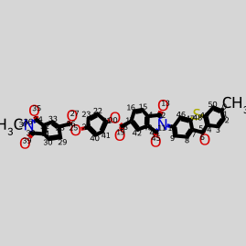 Cc1ccc2c(=O)c3ccc(N4C(=O)c5ccc(C(=O)Oc6ccc(OC(=O)c7ccc8c(c7)C(=O)N(C)C8=O)cc6)cc5C4=O)cc3sc2c1